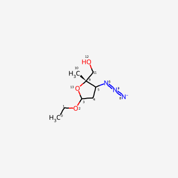 CCOC1CC(N=[N+]=[N-])[C@@](C)(CO)O1